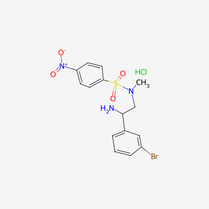 CN(CC(N)c1cccc(Br)c1)S(=O)(=O)c1ccc([N+](=O)[O-])cc1.Cl